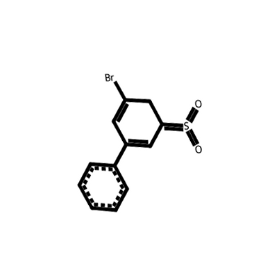 O=S(=O)=C1C=C(c2ccccc2)C=C(Br)C1